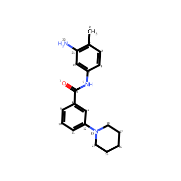 Cc1ccc(NC(=O)c2cccc(N3CCCCC3)c2)cc1N